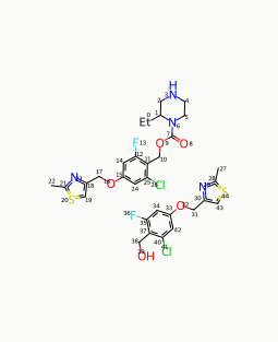 CCC1CNCCN1C(=O)OCc1c(F)cc(OCc2csc(C)n2)cc1Cl.Cc1nc(COc2cc(F)c(CO)c(Cl)c2)cs1